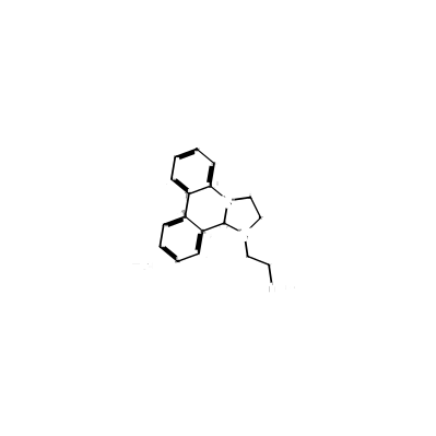 Br.CCCCCCCCCCCCN1CCN2c3ccccc3-c3ccccc3C12